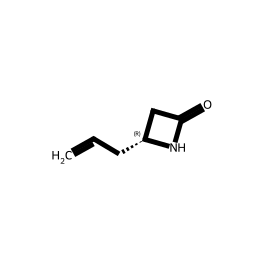 C=CC[C@@H]1CC(=O)N1